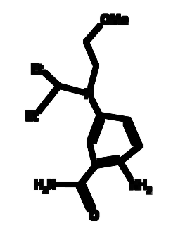 CCC(CC)N(CCOC)c1ccc(N)c(C(N)=O)c1